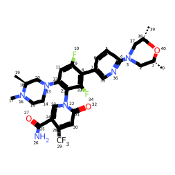 C[C@@H]1CN(c2ccc(-c3c(F)cc(N4CCN(C)[C@@H](C)C4)c(-n4cc(C(N)=O)c(C(F)(F)F)cc4=O)c3F)cn2)C[C@H](C)O1